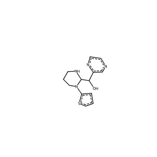 OC(c1cnccn1)C1NCCCN1c1cccs1